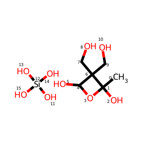 CC1(O)OC(O)C1(CO)CO.O[Si](O)(O)O